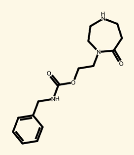 O=C(NCc1ccccc1)OCCN1CCNCCC1=O